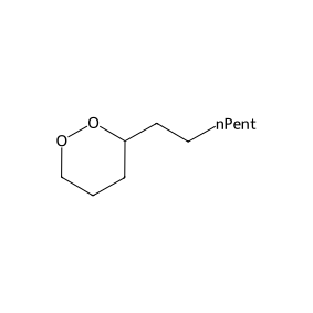 CCCCCCCC1CCCOO1